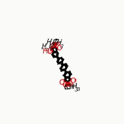 COC1(OC)C(=O)c2ccc(-c3ccc(-c4ccc(-c5ccc6c(c5)C(=O)C(OC)(OC)C6(C)O)cc4)cc3)cc2C1=O